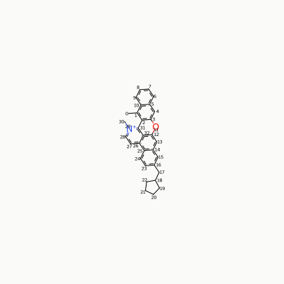 Cc1c2c(cc3ccccc13)Oc1cc3cc(CC4CCCC4)ccc3c3cc[n+](C)c-2c13